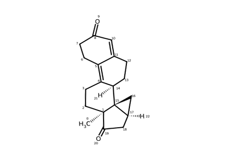 C[C@]12CCC3=C4CCC(=O)C=C4CC[C@H]3[C@@]13C[C@H]3CC2=O